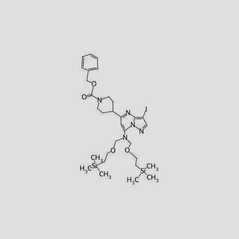 C[Si](C)(C)CCOCN(COCC[Si](C)(C)C)c1cc(C2CCN(C(=O)OCc3ccccc3)CC2)nc2c(I)cnn12